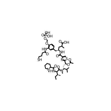 CC[C@H](C)C(NC(=O)C1CCCCN1C)C(=O)N(C)[C@H](C[C@@H](OC(C)=O)c1nc(C(=O)N[C@@H](Cc2ccc(OCOP(=O)(O)O)c(NC(=O)CCCS)c2)CC(C)C(=O)O)cs1)C(C)C